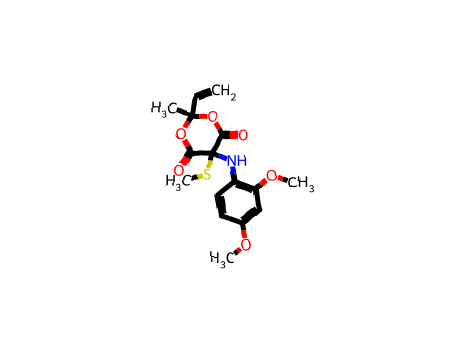 C=CC1(C)OC(=O)C(Nc2ccc(OC)cc2OC)(SC)C(=O)O1